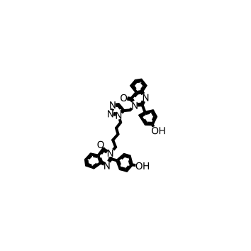 O=c1c2ccccc2nc(-c2ccc(O)cc2)n1CCCCCn1nncc1Cn1c(-c2ccc(O)cc2)nc2ccccc2c1=O